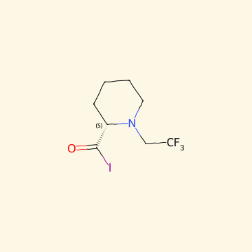 O=C(I)[C@@H]1CCCCN1CC(F)(F)F